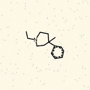 CCN1CCC(C)(c2ccccc2)CC1